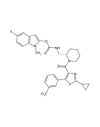 Cc1cccc(-c2sc(C3CC3)nc2C(=O)N2CCCC[C@H]2CNC(=O)Oc2cc3cc(F)ccc3n2C)c1